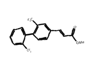 COC(=O)C=Cc1ccc(-c2ccccc2C(F)(F)F)c(C(F)(F)F)c1